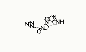 C[C@@H]1CCN(C(=O)CCn2cncn2)C[C@@H]1n1ccc2cnc3[nH]ccc3c21